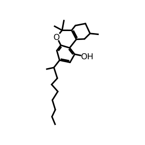 CCCCCCCC(C)c1cc(O)c2c(c1)OC(C)(C)C1=C2CC(C)CC1